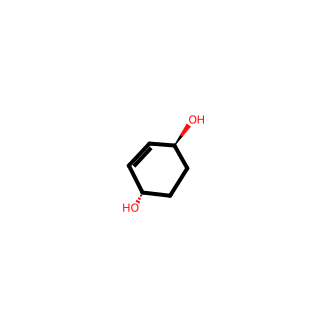 O[C@@H]1C=C[C@@H](O)CC1